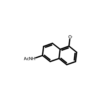 CC(=O)Nc1ccc2c([O])cccc2c1